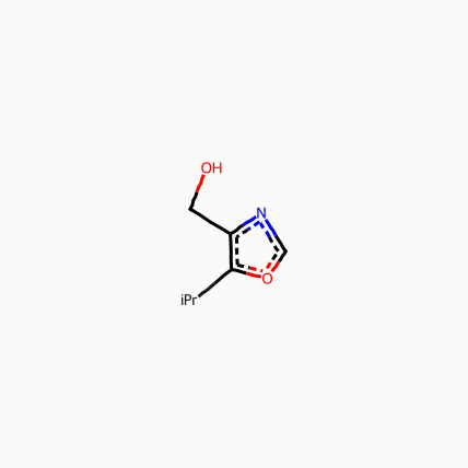 CC(C)c1ocnc1CO